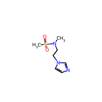 CN(CCn1ccnc1)S(C)(=O)=O